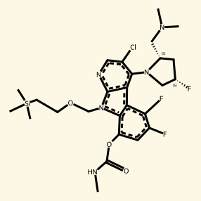 CNC(=O)Oc1cc(F)c(F)c2c3c(N4C[C@@H](F)C[C@H]4CN(C)C)c(Cl)cnc3n(COCC[Si](C)(C)C)c12